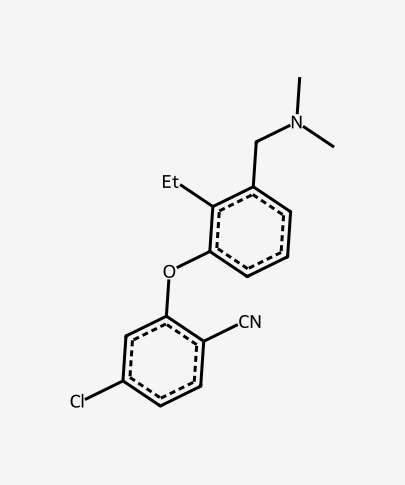 CCc1c(CN(C)C)cccc1Oc1cc(Cl)ccc1C#N